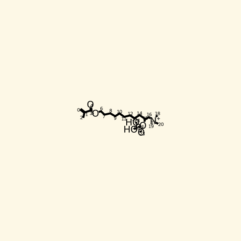 C=C(C)C(=O)OCCCCCCCCCC(C[N+](C)(C)C)OP(=O)(O)O